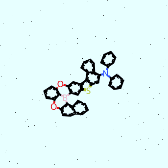 c1ccc(N(c2ccccc2)c2cc3sc4cc5c(cc4c3c3ccccc23)Oc2cccc3c2B5c2c(ccc4ccccc24)O3)cc1